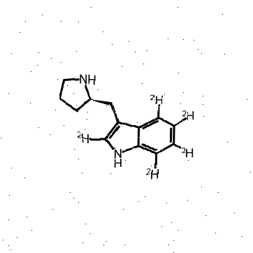 [2H]c1[nH]c2c([2H])c([2H])c([2H])c([2H])c2c1C[C@H]1CCCN1